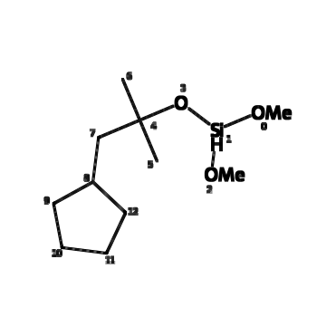 CO[SiH](OC)OC(C)(C)CC1CCCC1